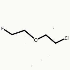 FCCOCCCl